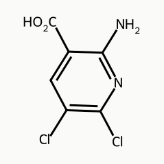 Nc1nc(Cl)c(Cl)cc1C(=O)O